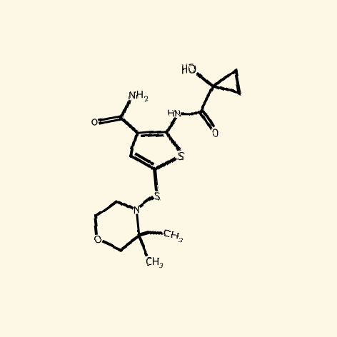 CC1(C)COCCN1Sc1cc(C(N)=O)c(NC(=O)C2(O)CC2)s1